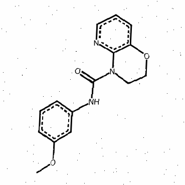 COc1cccc(NC(=O)N2CCOc3cccnc32)c1